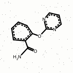 NC(=O)c1ccccc1Oc1ncccn1